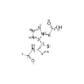 CC(=O)Nc1ccsc1-c1nnnn1CC(=O)O